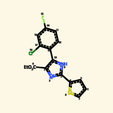 CCOC(=O)c1nc(-c2cccs2)[nH]c1-c1ccc(F)cc1Cl